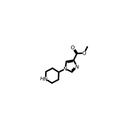 COC(=O)c1cn(C2CCNCC2)cn1